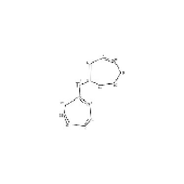 C1=CC=[C]([Ti][C]2=CC=CCCC2)CC=C1